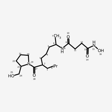 CC(C)CC(CCCC(C)NC(=O)CCC(=O)NO)C(=O)N1CCCC1CO